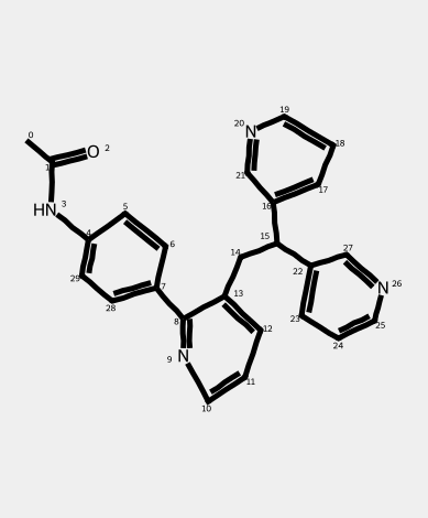 CC(=O)Nc1ccc(-c2ncccc2CC(c2cccnc2)c2cccnc2)cc1